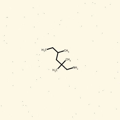 CCC(C)CC(C)(C)CN